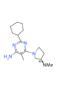 CN[C@@H]1CCN(c2nc(C3CCCCC3)nc(N)c2C)C1